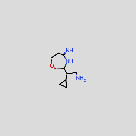 N=C1CCOCC(C(CN)C2CC2)N1